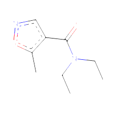 CCN(CC)C(=O)c1cnoc1C